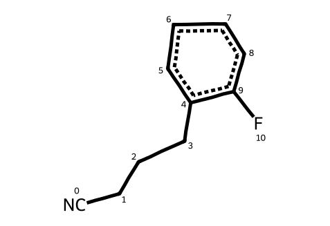 N#CCCCc1ccccc1F